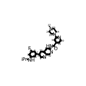 CC(C)Nc1cc(F)cc(-c2cnc3cnc(NC(=O)c4ccnc(N5CCN(C)CC5)c4)cc3c2)c1